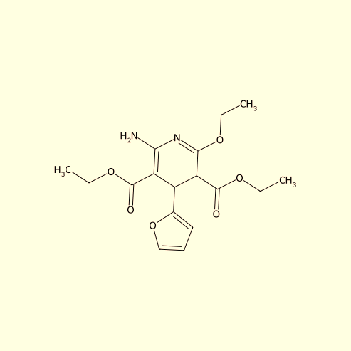 CCOC(=O)C1=C(N)N=C(OCC)C(C(=O)OCC)C1c1ccco1